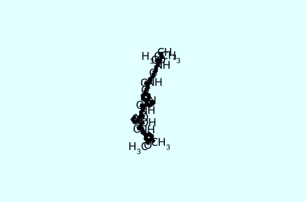 COc1cc(CNC(=O)C(O)[C@@H]2CCCN2C(=O)CNC(=O)c2ccnc3cc(OCC(=O)NCCOCCNC(=O)OC(C)(C)C)ccc23)ccc1C